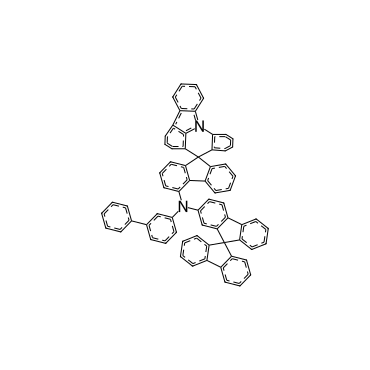 c1ccc(-c2cccc(N(c3ccc4c(c3)C3(c5ccccc5-c5ccccc53)c3ccccc3-4)c3cccc4c3-c3ccccc3C43c4ccccc4-n4c5ccccc5c5cccc3c54)c2)cc1